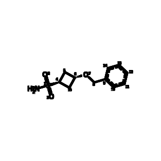 NS(=O)(=O)[C@H]1C[C@H](OCc2ccccc2)C1